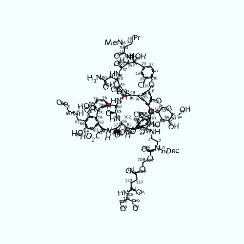 CCCCCCCCCCN(CCN[C@@]1(C)C[C@H](O[C@H]2[C@H](Oc3c4cc5cc3Oc3ccc(cc3Cl)[C@@H](O)[C@@H](NC(=O)[C@@H](CC(C)C)NC)C(=O)N[C@@H](CC(N)=O)C(=O)N[C@H]5C(=O)N[C@H]3C(=O)N[C@H](C(=O)N[C@H](C(=O)O)c5cc(O)c(CNCP=O)c(O)c5-c5cc3ccc5O)[C@H](O)c3ccc(c(Cl)c3)O4)O[C@H](CO)[C@@H](O)[C@@H]2O)O[C@@H](C)[C@H]1O)C(=O)OCOC(=O)CCC(=O)NC(P=O)P=O